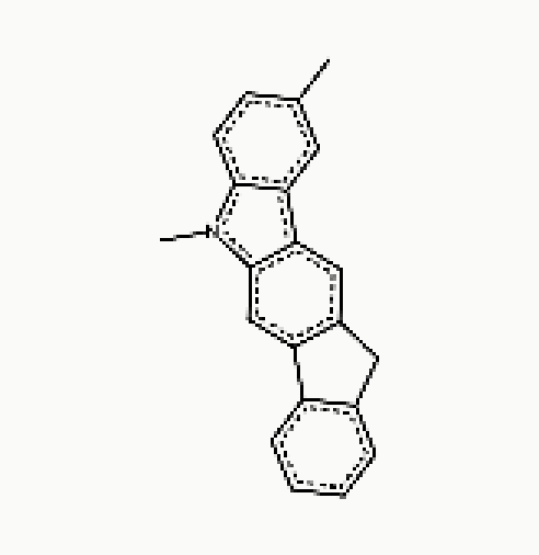 Cc1ccc2c(c1)c1cc3c(cc1n2C)-c1ccccc1C3